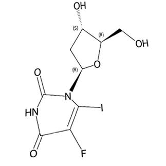 O=c1[nH]c(=O)n([C@H]2C[C@H](O)[C@@H](CO)O2)c(I)c1F